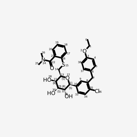 CCOc1ccc(Cc2cc([C@@H]3O[C@H](CSc4ccccc4C(=O)N(C)C)[C@H](O)[C@@H](O)[C@H]3O)ccc2Cl)cc1